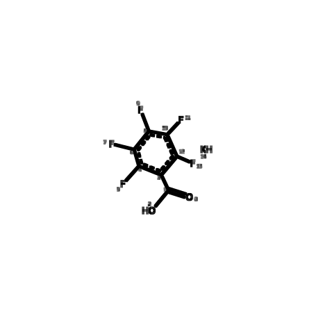 O=C(O)c1c(F)c(F)c(F)c(F)c1F.[KH]